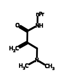 C=C(CN(C)C)C(=O)NCCC